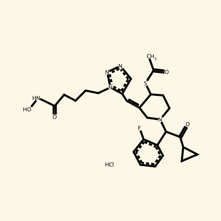 CC(=O)SC1CCN(C(C(=O)C2CC2)c2ccccc2F)CC1=Cc1cnnn1CCCCC(=O)NO.Cl